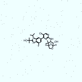 CC(C)n1c(C(C)(C)O)nc2c(F)cc(-c3nc(N[C@H]4[C@H](O)[C@@H]5OC[C@@H](O5)C4(C)C)ncc3Cl)cc21